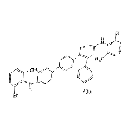 CCCCc1ccc(-c2cc(Nc3c(C)cccc3CC)ccc2-c2ccc(-c3ccc(Nc4c(C)cccc4CC)cc3)cc2)cc1